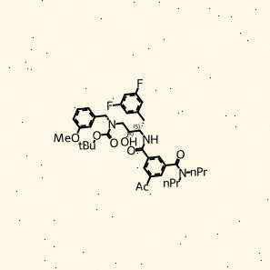 CCCN(CCC)C(=O)c1cc(C(C)=O)cc(C(=O)N[C@@H](Cc2cc(F)cc(F)c2)[C@H](O)CN(Cc2cccc(OC)c2)C(=O)OC(C)(C)C)c1